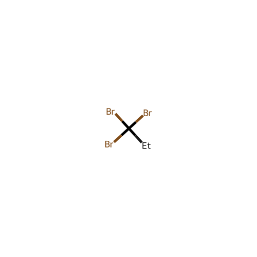 [CH2]CC(Br)(Br)Br